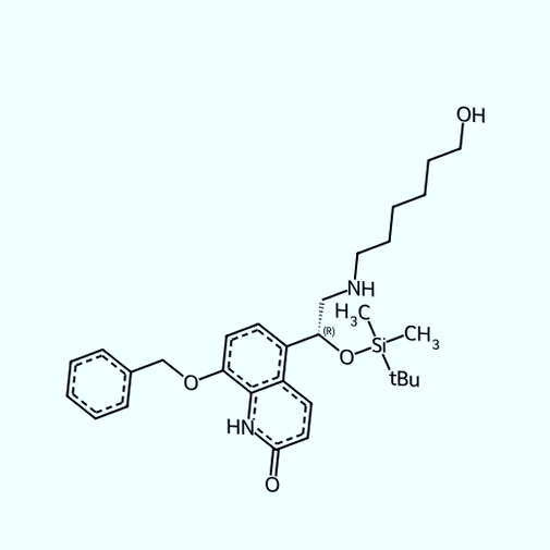 CC(C)(C)[Si](C)(C)O[C@@H](CNCCCCCCO)c1ccc(OCc2ccccc2)c2[nH]c(=O)ccc12